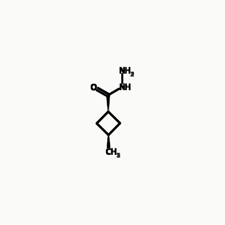 C[C@H]1C[C@@H](C(=O)NN)C1